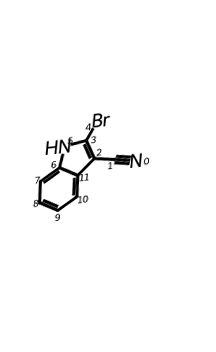 N#Cc1c(Br)[nH]c2ccccc12